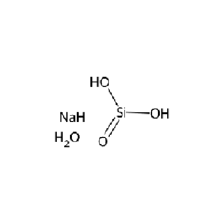 O.O=[Si](O)O.[NaH]